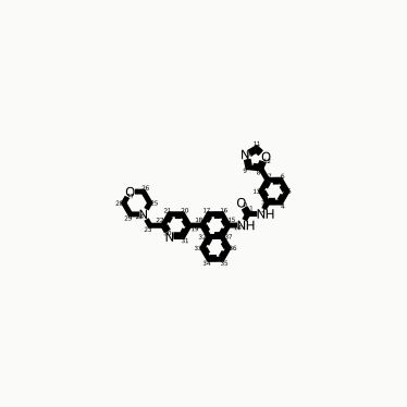 O=C(Nc1cccc(-c2cnco2)c1)Nc1ccc(-c2ccc(CN3CCOCC3)nc2)c2ccccc12